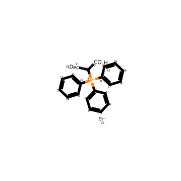 CCCCCCCCCCC(C(=O)O)[P+](c1ccccc1)(c1ccccc1)c1ccccc1.[Br-]